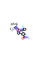 COCc1cc(C(F)(F)F)nn1CC(=O)NC(Cc1cccc(F)c1)c1ncccc1-c1ccc(F)c(C(N)=O)c1